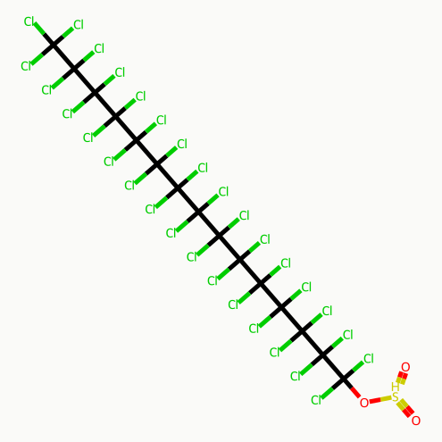 O=[SH](=O)OC(Cl)(Cl)C(Cl)(Cl)C(Cl)(Cl)C(Cl)(Cl)C(Cl)(Cl)C(Cl)(Cl)C(Cl)(Cl)C(Cl)(Cl)C(Cl)(Cl)C(Cl)(Cl)C(Cl)(Cl)C(Cl)(Cl)C(Cl)(Cl)C(Cl)(Cl)C(Cl)(Cl)Cl